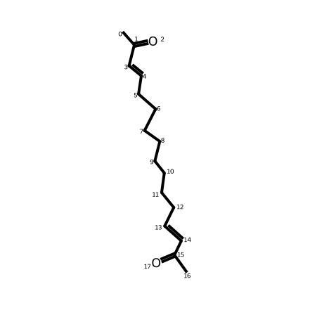 CC(=O)C=CCCCCCCCCC=CC(C)=O